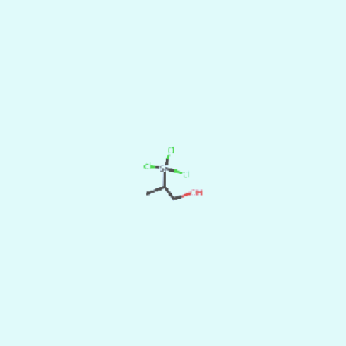 CC(CO)[Si](Cl)(Cl)Cl